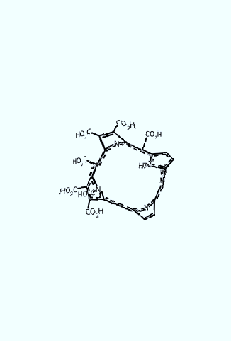 O=C(O)C1=C(C(=O)O)c2nc1c(C(=O)O)c1ccc(cc3nc(cc4c(C(=O)O)c(C(=O)O)c(c2C(=O)O)n4C(=O)O)C=C3)[nH]1